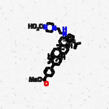 C=C(C)[C@@H]1CC[C@]2(NCCN3CCN(C(=O)O)CC3)CC[C@]3(C)[C@H](CC[C@@H]4[C@@]5(C)CC=C(c6ccc(C(=O)OC)cc6)C(C)(C)[C@@H]5CC[C@]43C)[C@@H]12